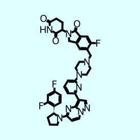 O=C1CCC(N2Cc3cc(CN4CCN(c5cccc(-c6cnn7ccc(N8CCC[C@@H]8c8ccc(F)cc8F)nc67)n5)CC4)c(F)cc3C2=O)C(=O)N1